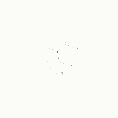 CC(CO)CO.O=S(=O)(O)OS(=O)(=O)O